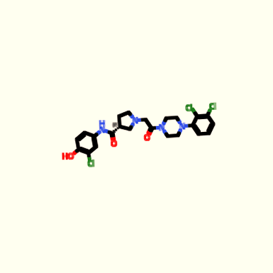 O=C(Nc1ccc(O)c(Cl)c1)[C@@H]1CCN(CC(=O)N2CCN(c3cccc(Cl)c3Cl)CC2)C1